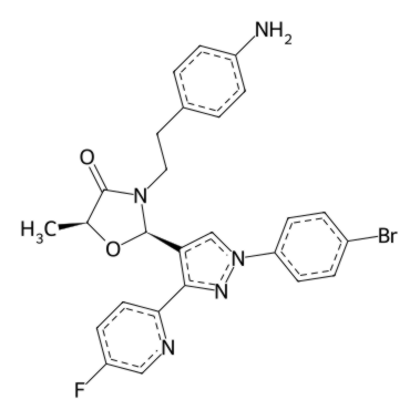 C[C@@H]1O[C@H](c2cn(-c3ccc(Br)cc3)nc2-c2ccc(F)cn2)N(CCc2ccc(N)cc2)C1=O